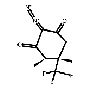 C[C@H]1C(=O)C(=[N+]=[N-])C(=O)C[C@]1(C)C(F)(F)F